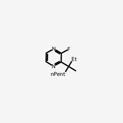 CCCCCC(C)(CC)c1nccnc1F